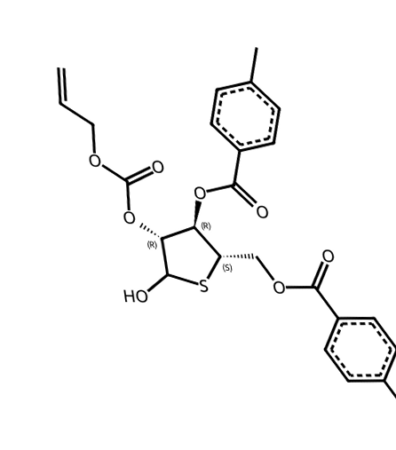 C=CCOC(=O)O[C@H]1C(O)S[C@@H](COC(=O)c2ccc(C)cc2)[C@@H]1OC(=O)c1ccc(C)cc1